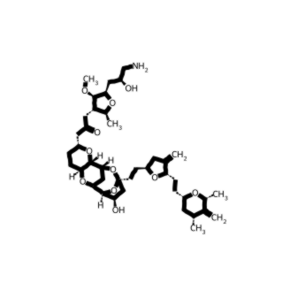 C=C1C[C@H](CC[C@]23C[C@@H](O)[C@H](O2)C2C[C@@H](O3)[C@H]3O[C@@H](CC(=O)C[C@@H]4[C@@H](OC)[C@@H](C[C@H](O)CN)O[C@H]4C)CC[C@@H]3O2)O[C@H]1CC[C@H]1C[C@@H](C)C(=C)[C@@H](C)O1